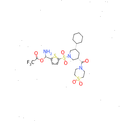 NC(OC(=O)C(F)(F)F)c1ccc(S(=O)(=O)N2C[C@@H](C(=O)N3CCS(=O)(=O)CC3)C[C@@H](C3CCCCC3)C2)s1